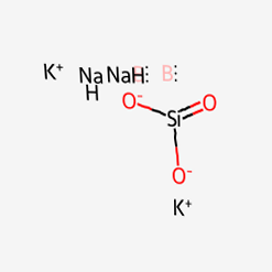 O=[Si]([O-])[O-].[B].[B].[K+].[K+].[NaH].[NaH]